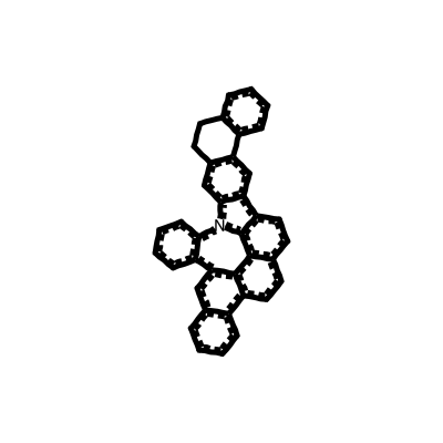 c1ccc2c(c1)CCc1cc3c(cc1-2)c1ccc2ccc4c5ccccc5cc5c6ccccc6n3c1c2c45